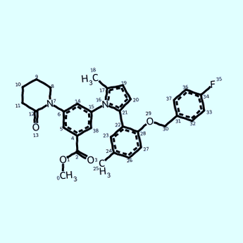 COC(=O)c1cc(N2CCCCC2=O)cc(-n2c(C)ccc2-c2cc(C)ccc2OCc2ccc(F)cc2)c1